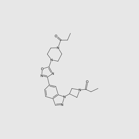 CCC(=O)N1CCN(c2nc(-c3ccc4cnn(C5CN(C(=O)CC)C5)c4c3)no2)CC1